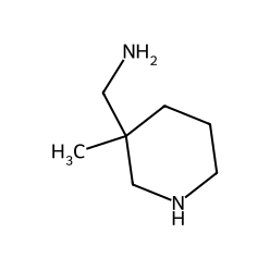 CC1(CN)CCCNC1